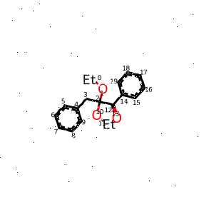 CCOC(Cc1ccccc1)(OCC)C(=O)c1ccccc1